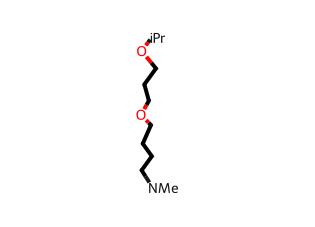 CNCCCCOCCCOC(C)C